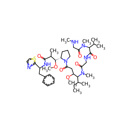 CCC(C)C(C(CC(=O)N1CCC[C@H]1C(OC)C(C)C(=O)NC(Cc1ccccc1)c1nccs1)OC)N(C)C(=O)CNC(=O)C(C(C)C)N(C)C(=O)CNC